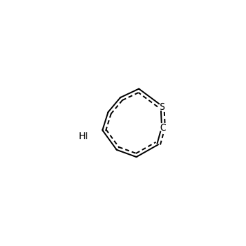 I.c1ccccsccc1